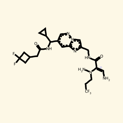 N/C=C(/C(=O)NCc1cn2ncc(C(NC(=O)CC3CC(F)(F)C3)C3CC3)cc2n1)N(N)CCC(F)(F)F